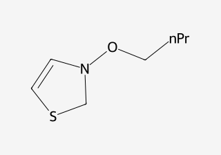 CCCCON1C=CSC1